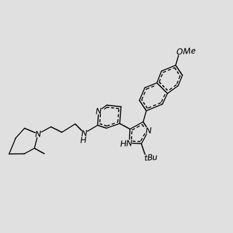 COc1ccc2cc(-c3nc(C(C)(C)C)[nH]c3-c3ccnc(NCCCN4CCCCC4C)c3)ccc2c1